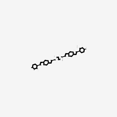 Fc1ccc(-c2cc3cc4sc(-c5nc6sc(-c7cc8cc9sc(-c%10ccc(F)c(F)c%10F)cc9cc8s7)nc6s5)cc4cc3s2)c(F)c1F